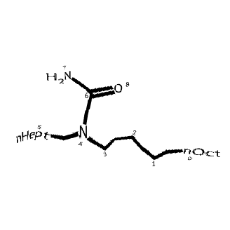 CCCCCCCCCCCN(CCCCCCC)C(N)=O